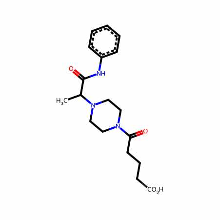 CC(C(=O)Nc1ccccc1)N1CCN(C(=O)CCCC(=O)O)CC1